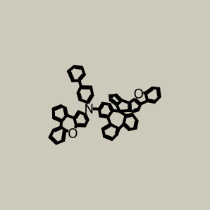 c1ccc(-c2ccc(N(c3ccc4c(c3)-c3ccccc3-c3ccccc3O4)c3ccc4c(c3)-c3ccccc3-c3ccccc3C43c4ccccc4-c4c3ccc3c4oc4ccccc43)cc2)cc1